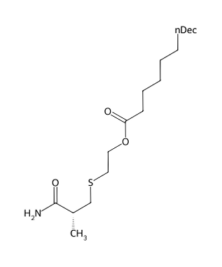 CCCCCCCCCCCCCCCC(=O)OCCSC[C@H](C)C(N)=O